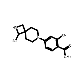 COC(=O)c1ccc(N2CCC3(CC2)CNC3C(C)(C)C)cc1C#N